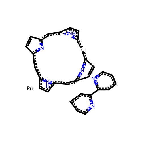 C1=Cc2cc3ccc(cc4nc(cc5ccc(cc1n2)[nH]5)C=C4)[nH]3.[Ru].c1ccc(-c2ccccn2)nc1